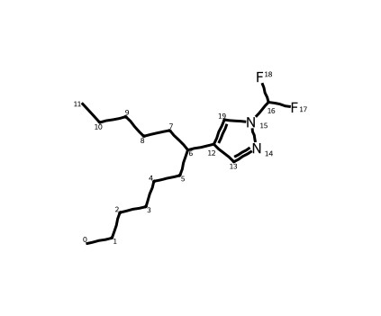 CCCCCCC(CCCCC)c1cnn(C(F)F)c1